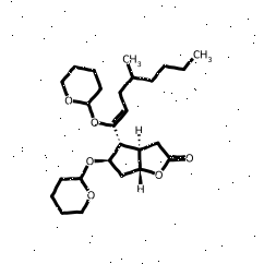 CCCCC(C)CC=C(OC1CCCCO1)[C@@H]1[C@H]2CC(=O)O[C@@H]2C[C@H]1OC1CCCCO1